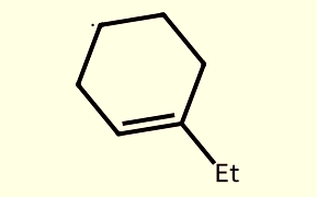 CCC1=CC[CH]CC1